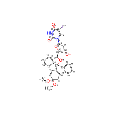 COC1(OC)C=CC(C(OC[C@H]2O[C@@H](n3cc(I)c(=O)[nH]c3=O)C[C@@H]2O)(c2ccccc2)c2ccccc2)=CC1